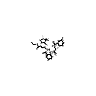 CCOC(=O)/C=C/[C@H](CC1CCNC1=O)NC(=O)c1ccccc1NC(=O)[C@@H](C)NC(=O)c1cccc(F)c1